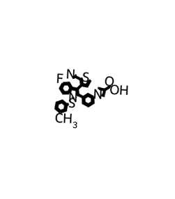 Cc1cccc(Sn2c(-c3cccc(N4CC(C(=O)O)C4)c3)c(-c3ccsc3C#N)c3cc(F)ccc32)c1